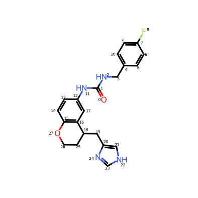 O=C(NCc1ccc(F)cc1)Nc1ccc2c(c1)C(Cc1c[nH]cn1)CCO2